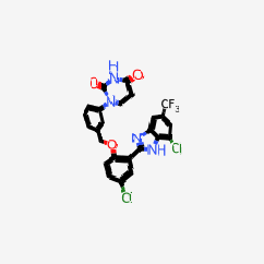 O=C1CCN(c2cccc(COc3ccc(Cl)cc3-c3nc4cc(C(F)(F)F)cc(Cl)c4[nH]3)c2)C(=O)N1